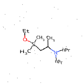 CCCN(CCC)C(C)C[Si](C)(C)OCC